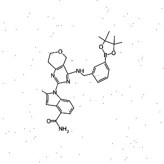 Cc1cc2c(C(N)=O)cccc2n1-c1nc2c(c(NCc3cccc(B4OC(C)(C)C(C)(C)O4)c3)n1)COCC2